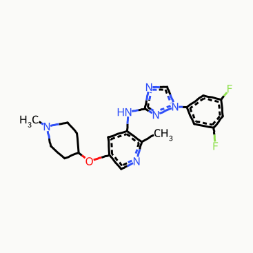 Cc1ncc(OC2CCN(C)CC2)cc1Nc1ncn(-c2cc(F)cc(F)c2)n1